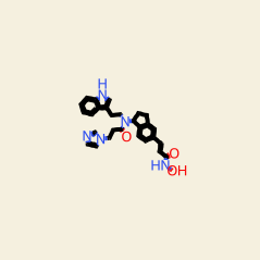 O=C(/C=C/c1ccc2c(c1)CCC2N(CCc1c[nH]c2ccccc12)C(=O)CCn1ccnc1)NO